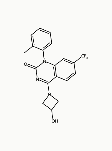 Cc1ccccc1-n1c(=O)nc(N2CC(O)C2)c2ccc(C(F)(F)F)cc21